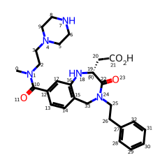 CN(CCN1CCNCC1)C(=O)c1ccc2c(c1)N[C@H](CC(=O)O)C(=O)N(CCc1ccccc1)C2